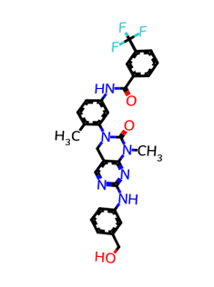 Cc1ccc(NC(=O)c2cccc(C(F)(F)F)c2)cc1N1Cc2cnc(Nc3cccc(CO)c3)nc2N(C)C1=O